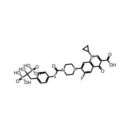 O=C(O)c1cn(C2CC2)c2cc(N3CCN(C(=O)Sc4ccc(CC(O)(P(=O)(O)O)P(=O)(O)O)cc4)CC3)c(F)cc2c1=O